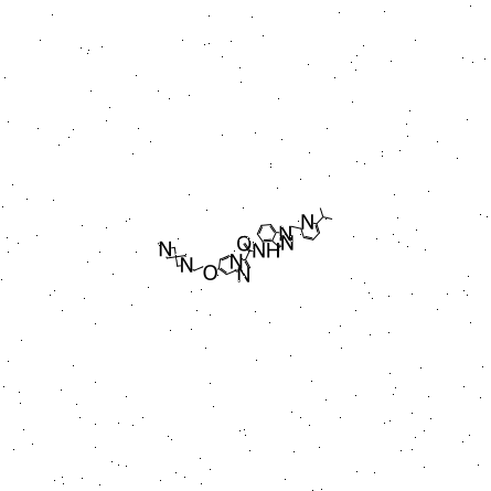 Cc1nn(Cc2cccc(C(C)C)n2)c2cccc(NC(=O)c3cnc4cc(OCCN5CC6(CN(C)C6)C5)ccn34)c12